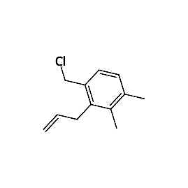 C=CCc1c(CCl)ccc(C)c1C